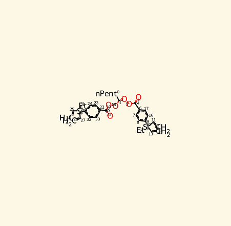 [CH2]CCCC[C](OOC(=O)c1ccc([Si](C=C)(C=C)CC)cc1)OOC(=O)c1ccc([Si](C=C)(C=C)CC)cc1